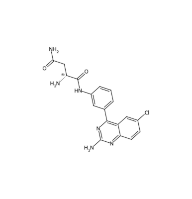 NC(=O)C[C@@H](N)C(=O)Nc1cccc(-c2nc(N)nc3ccc(Cl)cc23)c1